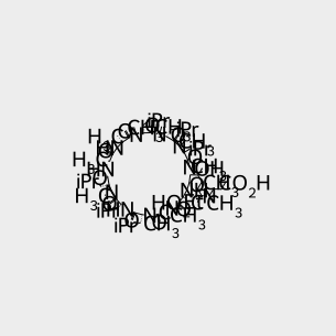 CC[C@H]1NC(=O)C([C@@H](O)[C@@H](C)CC(C(=O)O)N(C)CCC(=O)O)N(C)C(=O)C(C(C)C)N(C)C(=O)[C@@H](CC(C)C)N(C)C(=O)[C@@H](CC(C)C)N(C)C(=O)[C@@H](C)NC(=O)[C@@H](C)NC(=O)[C@@H](CC(C)C)N(C)C(=O)[C@@H](C(C)C)NC(=O)[C@@H](CC(C)C)N(C)C(=O)CN(C)C1=O